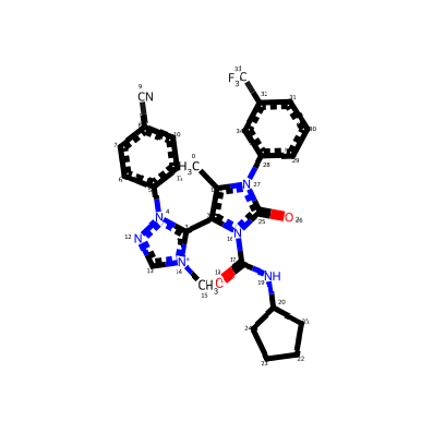 Cc1c(-c2n(-c3ccc(C#N)cc3)nc[n+]2C)n(C(=O)NC2CCCC2)c(=O)n1-c1cccc(C(F)(F)F)c1